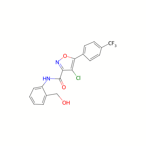 O=C(Nc1ccccc1CO)c1noc(-c2ccc(C(F)(F)F)cc2)c1Cl